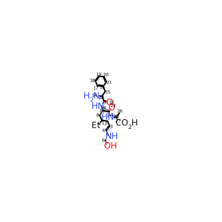 CCC(C/C=C/NCO)C[C@@H](NC(=O)[C@@H](N)Cc1ccccc1)C(=O)N[C@@H](C)C(=O)O